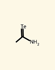 CC(N)=[Te]